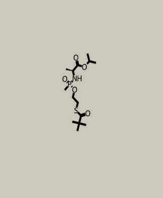 CC(C)OC(=O)[C@H](C)NP(C)(=O)OCCSC(=O)C(C)(C)C